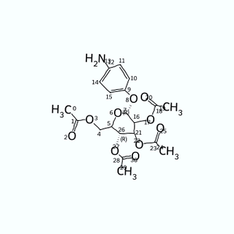 CC(=O)OCC1O[C@H](Oc2ccc(N)cc2)C(OC(C)=O)C(OC(C)=O)[C@@H]1OC(C)=O